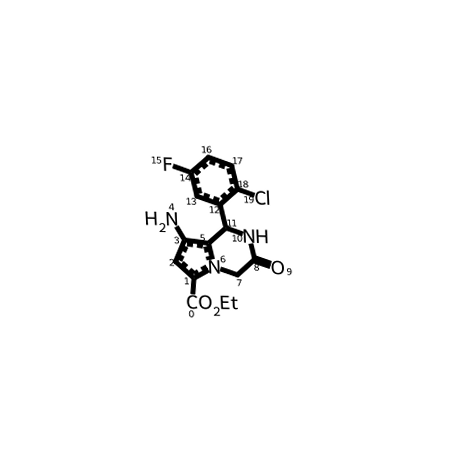 CCOC(=O)c1cc(N)c2n1CC(=O)NC2c1cc(F)ccc1Cl